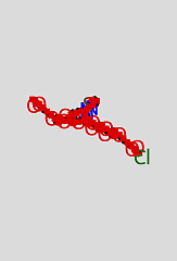 C=CC(=O)OCCCCCCOc1ccc(OC(=O)[C@H]2CC[C@H](OC(=O)c3ccc(OC(=O)[C@H]4CC[C@H](OC(=O)c5ccc(OCCCCCCOC(=O)CCCl)cc5)CC4)cc3/C=N/N(CCCCCC)c3nc4ccccc4s3)CC2)cc1